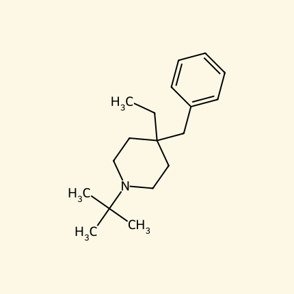 CCC1(Cc2ccccc2)CCN(C(C)(C)C)CC1